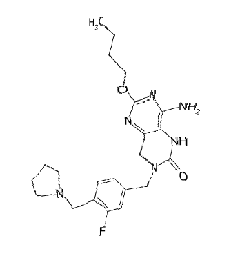 CCCCOc1nc(N)c2c(n1)CN(Cc1ccc(CN3CCCC3)c(F)c1)C(=O)N2